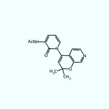 CC(=O)Nc1cccn(C2=CC(C)(C)Oc3cnccc32)c1=O